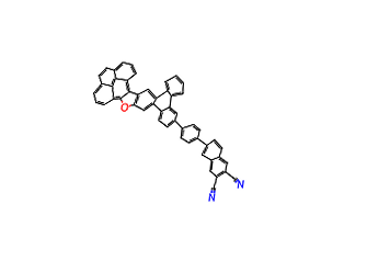 N#Cc1cc2ccc(-c3ccc(-c4ccc5c(c4)c4ccccc4c4cc6c(cc54)oc4c5cccc7ccc8cccc(c64)c8c75)cc3)cc2cc1C#N